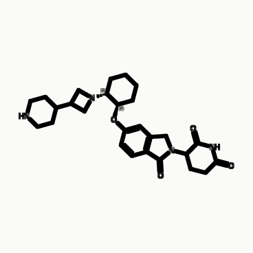 O=C1CCC(N2Cc3cc(O[C@@H]4CCCC[C@H]4N4CC(C5CCNCC5)C4)ccc3C2=O)C(=O)N1